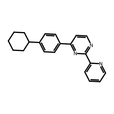 c1ccc(-c2nccc(-c3ccc(C4CCCCC4)cc3)n2)nc1